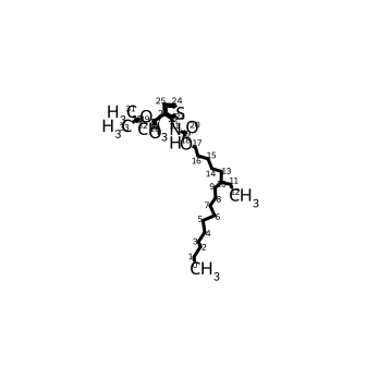 CCCCCCCCCCC(CC)CCCCCOC(=O)Nc1sccc1C(=O)OC(C)(C)C